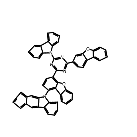 c1ccc2cc3c(cc2c1)c1ccccc1n3-c1ccc(-c2nc(-c3ccc4c(c3)oc3ccccc34)nc(-n3c4ccccc4c4ccccc43)n2)c2oc3ccccc3c12